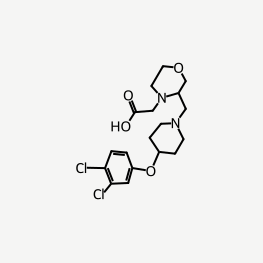 O=C(O)CN1CCOCC1CN1CCC(Oc2ccc(Cl)c(Cl)c2)CC1